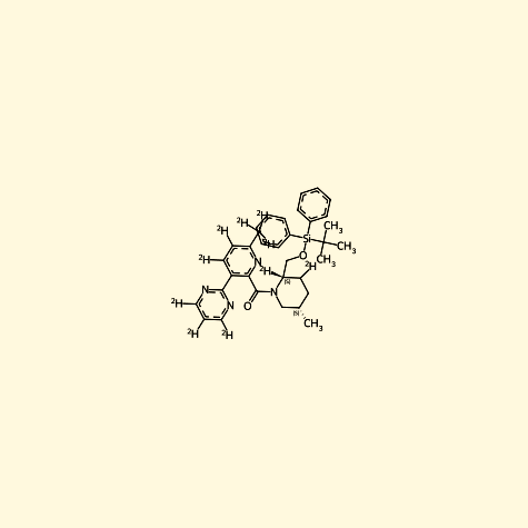 [2H]c1nc(-c2c(C(=O)N3C[C@@H](C)CC([2H])[C@@]3([2H])CO[Si](c3ccccc3)(c3ccccc3)C(C)(C)C)nc(C([2H])([2H])[2H])c([2H])c2[2H])nc([2H])c1[2H]